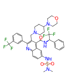 CN(C)S(=O)(=O)Nc1ccc2nc(-c3cccc(C(F)(F)F)c3)c(CN3CCC(N4CCOCC4)CC3)c(C(=O)N[C@H](c3ccccc3)C(F)(F)F)c2c1